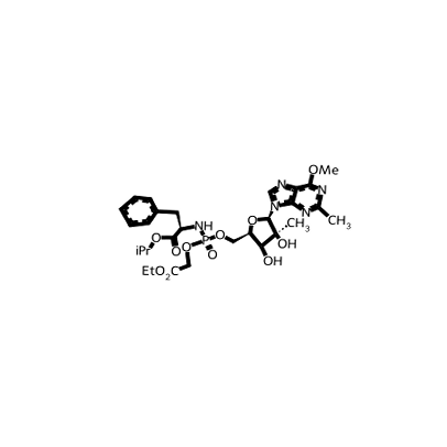 CCOC(=O)COP(=O)(N[C@H](Cc1ccccc1)C(=O)OC(C)C)OC[C@H]1O[C@@H](n2cnc3c(OC)nc(C)nc32)[C@@](C)(O)C1O